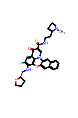 CN1CCCC1CCNC(=O)c1cn2c3c(c(NC[C@H]4CCCO4)c(F)cc3c1=O)Oc1cc3ccccc3cc1-2